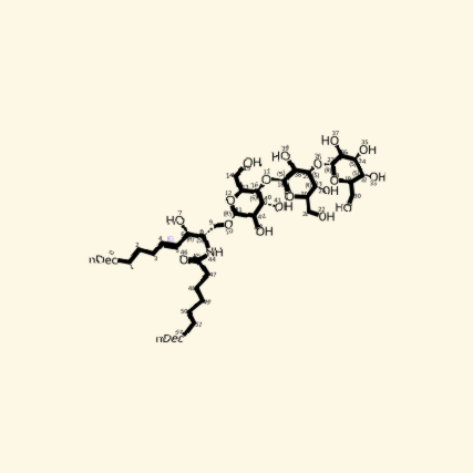 CCCCCCCCCCCCC/C=C/[C@@H](O)[C@H](CO[C@@H]1OC(CO)[C@@H](O[C@@H]2OC(CO)[C@@H](O)[C@H](O[C@H]3OC(CO)[C@@H](O)[C@H](O)C3O)C2O)[C@H](O)C1O)NC(=O)CCCCCCCCCCCCCCC